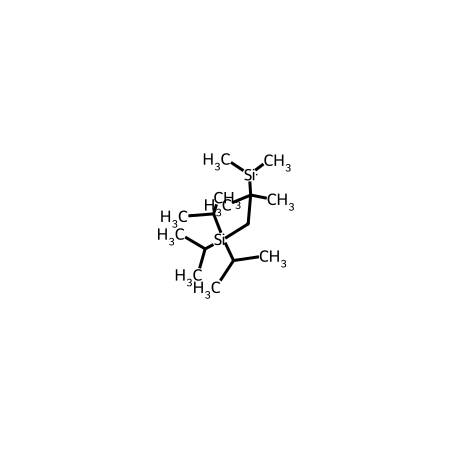 CC(C)[Si](CC(C)(C)[Si](C)C)(C(C)C)C(C)C